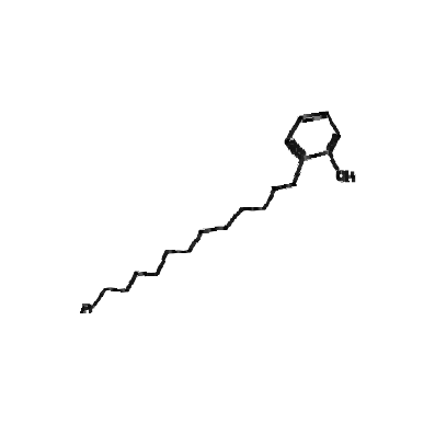 CC(C)CCCCCCCCCCCCc1ccccc1O